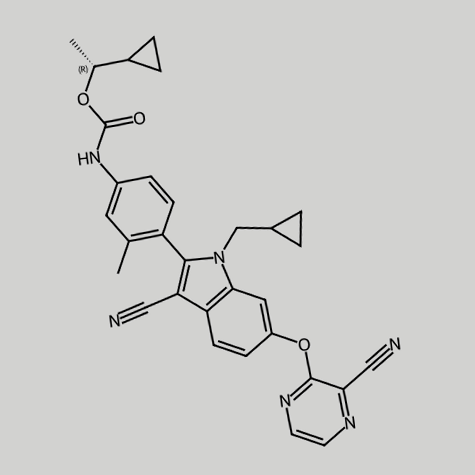 Cc1cc(NC(=O)O[C@H](C)C2CC2)ccc1-c1c(C#N)c2ccc(Oc3nccnc3C#N)cc2n1CC1CC1